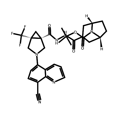 CC(C)(C)OC(=O)N1[C@@H]2CC[C@H]1CC(C(=O)NNC(=O)[C@]13CN(c4ccc(C#N)c5ncccc45)C[C@@]1(C(F)(F)F)C3)C2